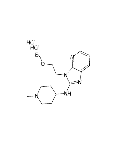 CCOCCn1c(NC2CCN(C)CC2)nc2cccnc21.Cl.Cl